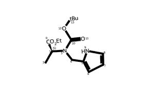 CCOC(=O)[C@H](C)N(Cc1ccc[nH]1)C(=O)OC(C)(C)C